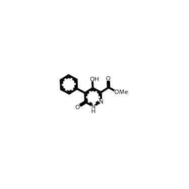 COC(=O)c1n[nH]c(=O)c(-c2ccccc2)c1O